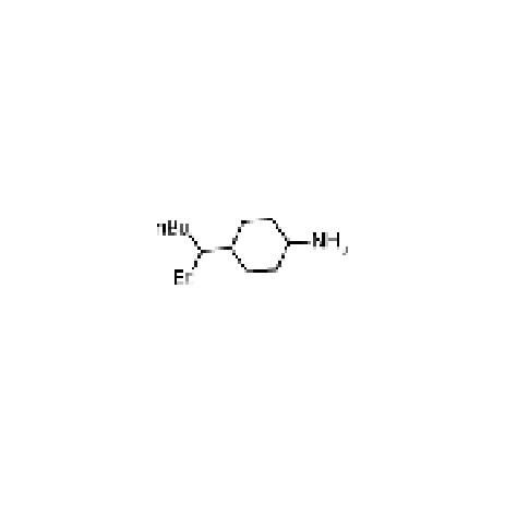 CCCCC(CC)C1CCC(N)CC1